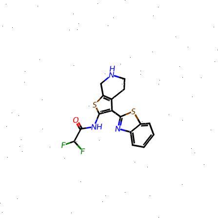 O=C(Nc1sc2c(c1-c1nc3ccccc3s1)CCNC2)C(F)F